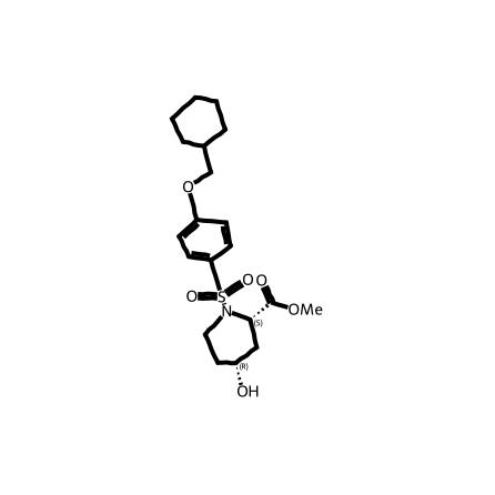 COC(=O)[C@@H]1C[C@H](O)CCN1S(=O)(=O)c1ccc(OCC2CCCCC2)cc1